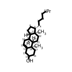 CC(C)CCCC[C@H]1CC[C@H]2[C@@H]3CC=C4CC(O)CC[C@]4(C)[C@H]3CC[C@]12C